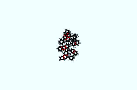 c1ccc(-c2cc3c4c(c2)N(c2c(-c5ccccc5)cccc2-c2ccccc2)c2ccccc2B4c2cc4c(cc2N3c2ccccc2)N(c2c(-c3ccccc3)cccc2-c2ccccc2)c2cc(N3C5CC6CC(C5)CC3C6)cc3c2B4c2ccccc2N3c2c(-c3ccccc3)cccc2-c2ccccc2)cc1